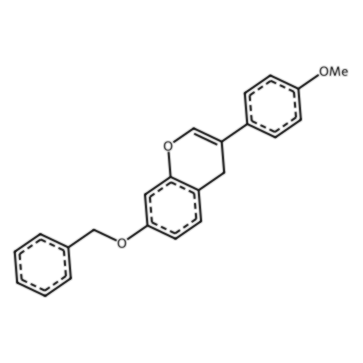 COc1ccc(C2=COc3cc(OCc4ccccc4)ccc3C2)cc1